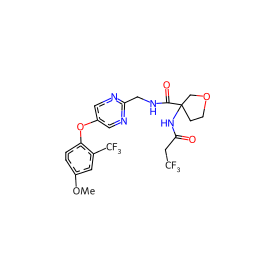 COc1ccc(Oc2cnc(CNC(=O)C3(NC(=O)CC(F)(F)F)CCOC3)nc2)c(C(F)(F)F)c1